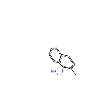 Cc1ccc2ccccc2c1I.N